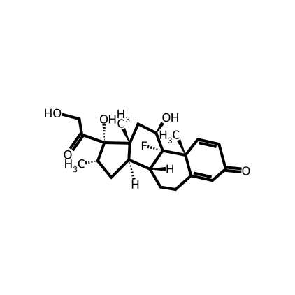 C[C@H]1C[C@@H]2[C@H]3CCC4=CC(=O)C=C[C@@]4(C)[C@]3(F)[C@H](O)C[C@@]2(C)[C@]1(O)C(=O)CO